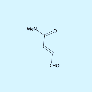 CNC(=O)C=C[C]=O